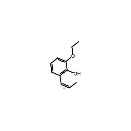 C/C=C\c1cccc(OCC)c1O